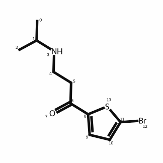 CC(C)NCCC(=O)c1ccc(Br)s1